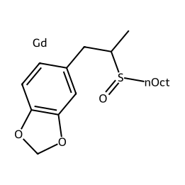 CCCCCCCCS(=O)C(C)Cc1ccc2c(c1)OCO2.[Gd]